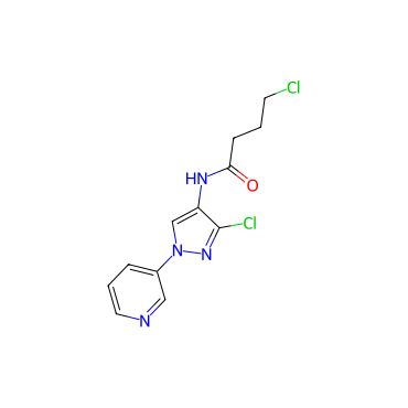 O=C(CCCCl)Nc1cn(-c2cccnc2)nc1Cl